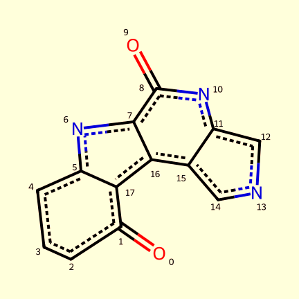 O=c1cccc2nc3c(=O)nc4cncc-4c-3c1-2